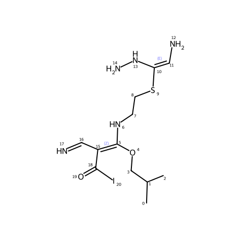 CC(C)CO/C(NCCS/C(=C/N)NN)=C(/C=N)C(=O)I